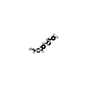 CNCC(=O)N1CCN(C(=O)c2ccc(Nc3nccn4c(-c5ccc(OC)c(Cl)c5)cnc34)cc2C)CC1